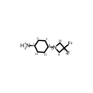 N[C@H]1CC[C@@H](N2CC(F)(F)C2)CC1